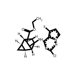 CCOC(=O)[C@H]1[C@H]2CC[C@H]([C@H]3C[C@H]32)[C@@H]1Nc1nc(Cl)nn2ccc(F)c12